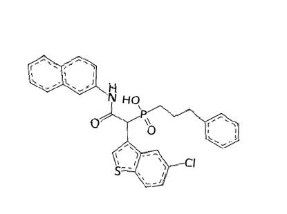 O=C(Nc1ccc2ccccc2c1)C(c1csc2ccc(Cl)cc12)P(=O)(O)CCCc1ccccc1